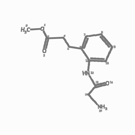 COC(=O)CCc1ccccc1NC(=O)CN